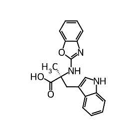 C[C@@](Cc1c[nH]c2ccccc12)(Nc1nc2ccccc2o1)C(=O)O